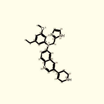 CCc1cc(OC)cc(N(Cc2ncc[nH]2)c2ccc3ncc(C4=CCNCC4)cc3c2)c1